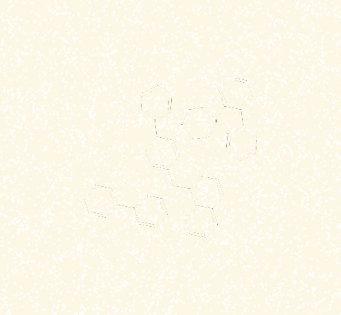 c1ccc(-c2cccc(N(c3ccc4c(c3)C3(CCC5(CC3)c3ccccc3-c3ccccc35)c3ccccc3-4)c3cccc4ccccc34)c2)cc1